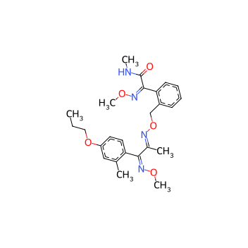 CCCOc1ccc(C(=NOC)C(C)=NOCc2ccccc2C(=NOC)C(=O)NC)c(C)c1